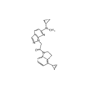 CN(c1ccc2cnn(CC(=O)N3CCc4c(C5C=C5)cccc43)c2n1)C1CC1